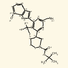 CC(C)(C)OC(=O)N1CCCC(c2nc(N)nc(-c3cc4ccc[n+]([O-])c4[nH]3)c2C(F)(F)F)C1